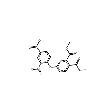 COC(=O)c1ccc(Oc2ccc([N+](=O)[O-])cc2[N+](=O)[O-])cc1C(=O)OC